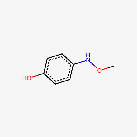 CONc1ccc(O)cc1